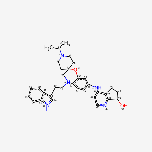 CC(C)N1CCC2(CC1)CN(CCc1c[nH]c3ccccc13)c1ccc(Nc3ccnc4c3CCC4O)cc1O2